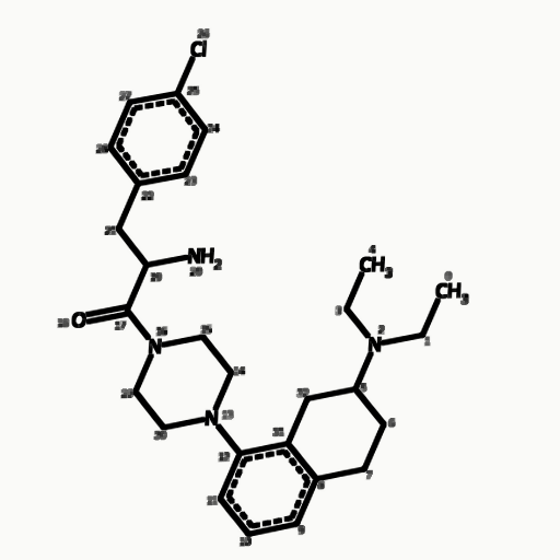 CCN(CC)C1CCc2cccc(N3CCN(C(=O)C(N)Cc4ccc(Cl)cc4)CC3)c2C1